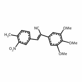 COc1cc(C(C#N)=Cc2ccc(C)c([N+](=O)[O-])c2)cc(OC)c1OC